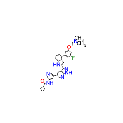 CN(C)CCOc1cc(F)cc(-c2cccc3[nH]c(-c4n[nH]c5ncc(-c6cncc(NC(=O)C7CCC7)c6)cc45)cc23)c1